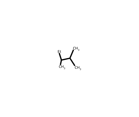 CC[C](C)C(C)C